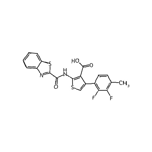 Cc1ccc(-c2csc(NC(=O)c3nc4ccccc4s3)c2C(=O)O)c(F)c1F